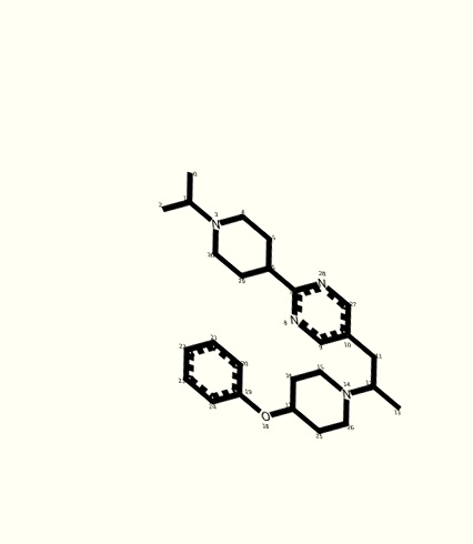 CC(C)N1CCC(c2ncc(CC(C)N3CCC(Oc4ccccc4)CC3)cn2)CC1